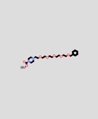 CC(C)(C)OC(=O)N1CCN(CCOCCOCCOCCOCCOCc2ccccc2)CC1